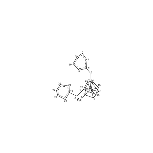 CC(=O)[C]12[CH]3[CH]4[C]5(Cc6ccccc6)[CH]1[Fe]43521678[CH]2[CH]1[CH]6[C]7(Cc1ccccc1)[CH]28